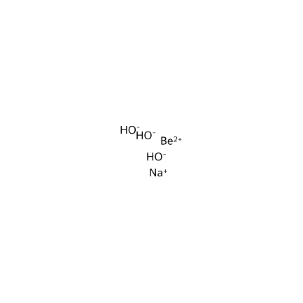 [Be+2].[Na+].[OH-].[OH-].[OH-]